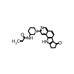 C=CC(=O)NC1CCCN(c2cc3c(ccc4c5c([nH]c43)CCC5=O)cn2)C1